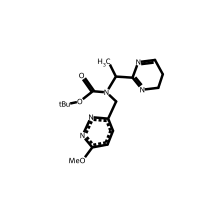 COc1ccc(CN(C(=O)OC(C)(C)C)C(C)C2=NCCC=N2)nn1